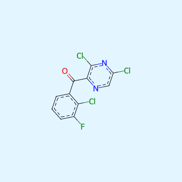 O=C(c1cccc(F)c1Cl)c1ncc(Cl)nc1Cl